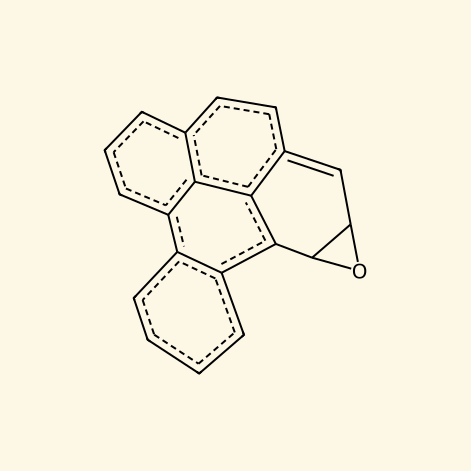 C1=c2ccc3cccc4c5ccccc5c(c2c34)C2OC12